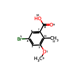 COc1cc(Br)cc(C(=O)O)c1C